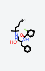 CC(C)CCCC(C)(C)NC[C@@H](O)[C@H](Cc1ccccc1)NC(=O)c1ccccc1F